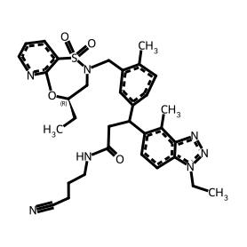 CC[C@@H]1CN(Cc2cc(C(CC(=O)NCCCC#N)c3ccc4c(nnn4CC)c3C)ccc2C)S(=O)(=O)c2cccnc2O1